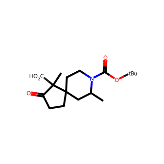 CC1CC2(CCC(=O)C2(C)C(=O)O)CCN1C(=O)OC(C)(C)C